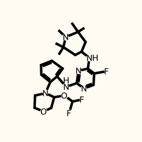 CN1C(C)(C)CC(Nc2nc(Nc3ccccc3N3CCOCC3OC(F)F)ncc2F)CC1(C)C